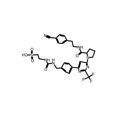 N#Cc1ccc(CCNC(=O)C2CCCN2c2cc(-c3ccc(CNC(=O)NCCS(=O)(=O)O)cc3)nc(C(F)(F)F)n2)cc1